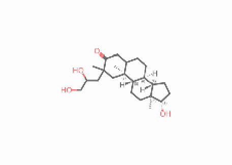 CC1(CC(O)CO)C[C@@]2(C)C(CC[C@H]3[C@@H]4CC[C@H](O)[C@@]4(C)CC[C@@H]32)CC1=O